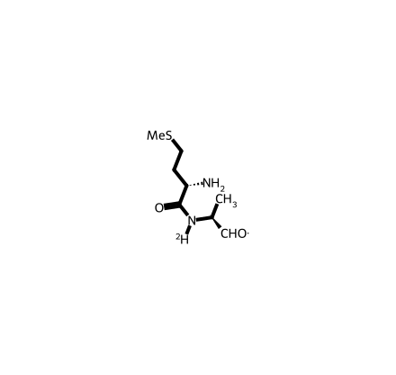 [2H]N(C(=O)[C@@H](N)CCSC)[C@@H](C)[C]=O